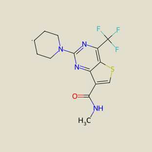 CNC(=O)c1csc2c(C(F)(F)F)nc(N3CC[CH]CC3)nc12